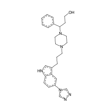 OCCC(c1ccccc1)N1CCN(CCCc2c[nH]c3ccc(-n4cnnc4)cc23)CC1